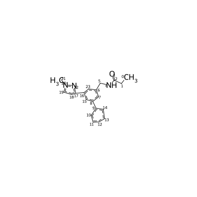 CCC(=O)NCc1cc(-c2ccccc2)cc(-c2ccn(C)n2)c1